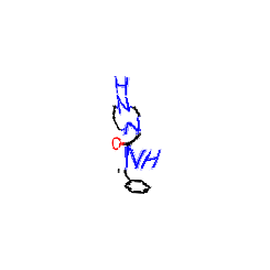 O=C(CN1CCCNCC1)N[CH]c1ccccc1